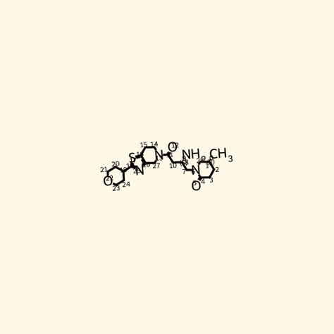 C[C@@H]1CCC(=O)N(C[C@@H](N)CC(=O)N2CCc3sc(C4CCOCC4)nc3C2)C1